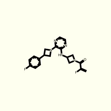 C=C(F)C(=O)N1CC(Nc2nccnc2N2CC(c3ccc(F)cc3)C2)C1